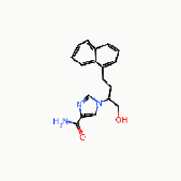 NC(=O)c1cn(C(CO)CCc2cccc3ccccc23)cn1